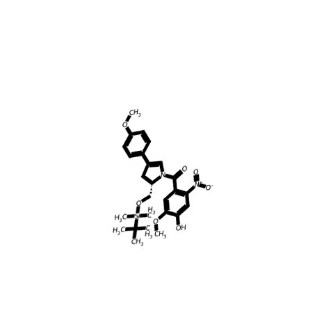 COc1ccc(C2=CN(C(=O)c3cc(OC)c(O)cc3[N+](=O)[O-])[C@H](CO[Si](C)(C)C(C)(C)C)C2)cc1